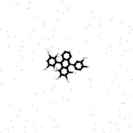 Fc1ccc(-c2c3ccccc3c(-c3c(F)c(F)cc(F)c3F)c3c(F)c(F)c(F)c(F)c23)cc1F